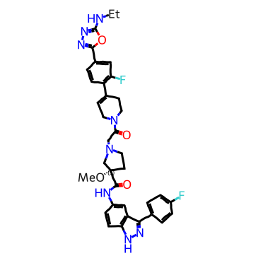 CCNc1nnc(-c2ccc(C3=CCN(C(=O)CN4CC[C@@](OC)(C(=O)Nc5ccc6[nH]nc(-c7ccc(F)cc7)c6c5)C4)CC3)c(F)c2)o1